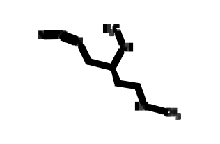 CNCC[C@@H](CN=[N+]=[N-])NC